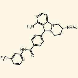 CC(=O)N[C@@H]1CCc2c(-c3ccc(C(=O)Nc4cc(C(F)(F)F)ccn4)cc3)c3c(N)ncnc3n2C1